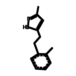 CC1=BBC(CCc2ccccc2C)=C1